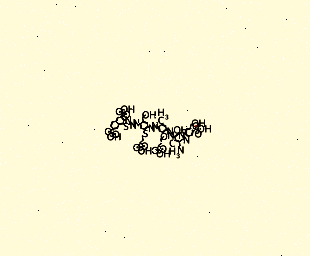 Cc1cc(N=Nc2c(C)c(C#N)c3nc4cc(S(=O)(=O)O)c(CO)cc4n3c2O)c(OCCCS(=O)(=O)O)cc1N=Nc1cc(CO)c(N=Nc2nc3c(S(=O)(=O)O)cc4ccc(S(=O)(=O)O)cc4c3s2)cc1SCCCS(=O)(=O)O